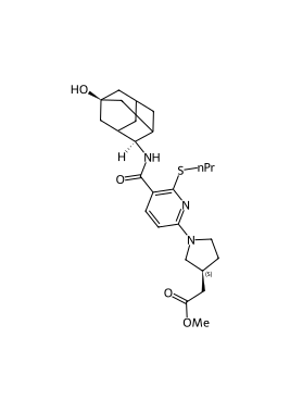 CCCSc1nc(N2CC[C@@H](CC(=O)OC)C2)ccc1C(=O)N[C@H]1C2CC3CC1C[C@@](O)(C3)C2